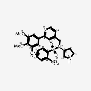 COc1cc(-c2cc(CN([C@H]3CCNC3)S(=O)(=O)c3ccccc3[N+](=O)[O-])ccn2)cc(OC)c1OC